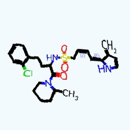 C=c1cc[nH]/c1=C/C=C\CS(=O)(=O)NC(CCc1ccccc1Cl)C(=O)N1CCCCC1C